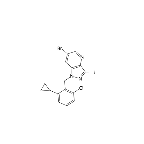 Clc1cccc(C2CC2)c1Cn1nc(I)c2ncc(Br)cc21